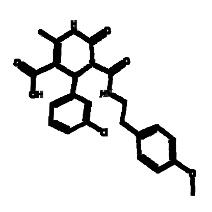 COc1ccc(CCNC(=O)N2C(=O)NC(C)=C(C(=O)O)C2c2cccc(Cl)c2)cc1